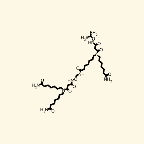 BC(B)ONC(=O)CC(=O)N(CCCCCCC(N)=O)CCCCCCC(=O)NCONC(=O)CC(=O)N(CCCCCCC(N)=O)CCCCCCC(N)=O